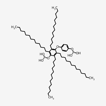 CCCCCCCCCCCCCc1c(CCCCCCCCCCCCC)c(OP(O)O)c(CCCCCCCCCCCCC)c(CCCCCCCCCCCCC)c1Oc1ccc(OP(O)O)cc1